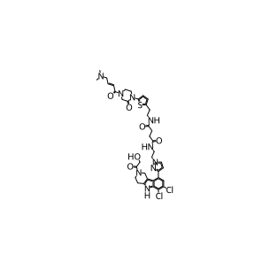 CN(C)C/C=C/C(=O)N1CCN(c2ccc(CCNC(=O)CCC(=O)NCCn3ccc(-c4cc(Cl)c(Cl)c5[nH]c6c(c45)CN(C(=O)CO)CC6)n3)s2)C(=O)C1